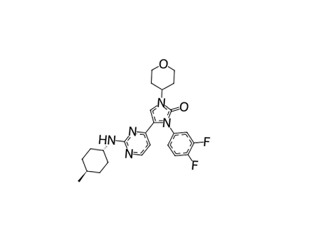 C[C@H]1CC[C@H](Nc2nccc(-c3cn(C4CCOCC4)c(=O)n3-c3ccc(F)c(F)c3)n2)CC1